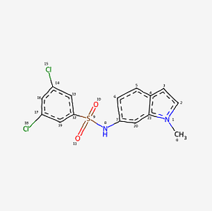 Cn1ccc2ccc(NS(=O)(=O)c3cc(Cl)cc(Cl)c3)cc21